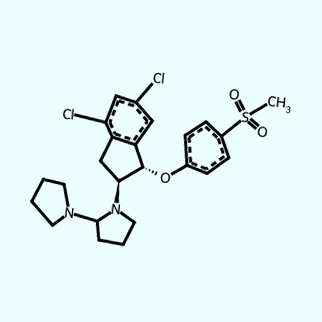 CS(=O)(=O)c1ccc(O[C@H]2c3cc(Cl)cc(Cl)c3C[C@@H]2N2CCCC2N2CCCC2)cc1